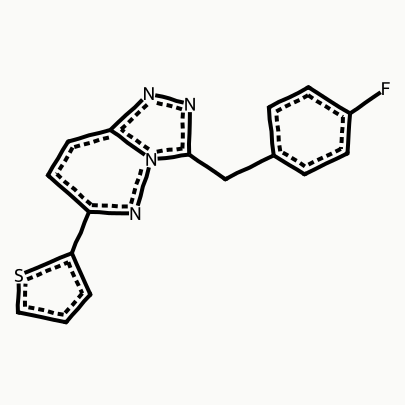 Fc1ccc(Cc2nnc3ccc(-c4cccs4)nn23)cc1